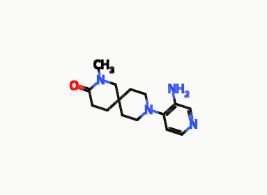 CN1CC2(CCC1=O)CCN(c1ccncc1N)CC2